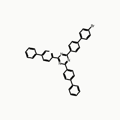 C=C(/C=C\C(=C/C)c1ccccc1)c1nc(-c2ccc(-c3ccccc3)cc2)nc(-c2ccc(-c3ccc(Br)cc3)cc2)n1